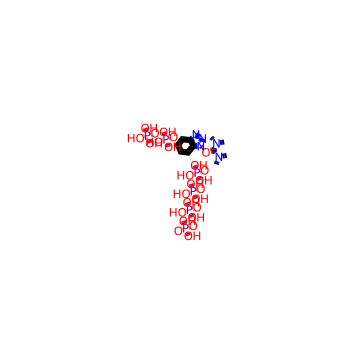 CN(C)C(=[O+]n1nnc2ccccc21)N(C)C.O=P(O)(O)O.O=P(O)(O)O.O=P(O)(O)O.O=P(O)(O)O.O=P(O)(O)O.O=P([O-])(O)O